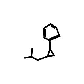 CC(C)CC1CC1c1ccccc1